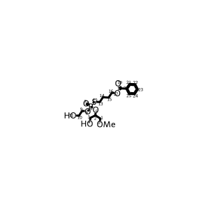 COCC(CO)OP(=O)(OCCO)SCCCCOC(=O)c1ccccc1